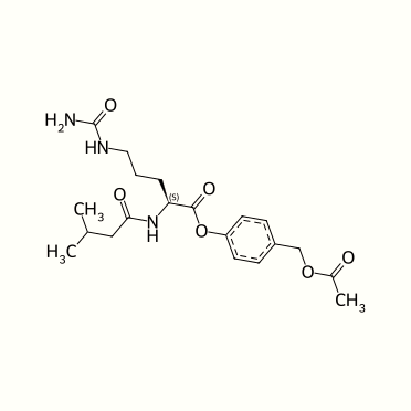 CC(=O)OCc1ccc(OC(=O)[C@H](CCCNC(N)=O)NC(=O)CC(C)C)cc1